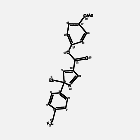 CCC1(c2ccc(C(F)(F)F)cc2)C=C(C(=O)Oc2ccc(OC)cc2)C=N1